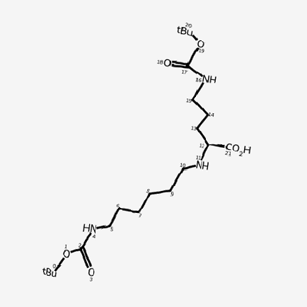 CC(C)(C)OC(=O)NCCCCCCN[C@@H](CCCNC(=O)OC(C)(C)C)C(=O)O